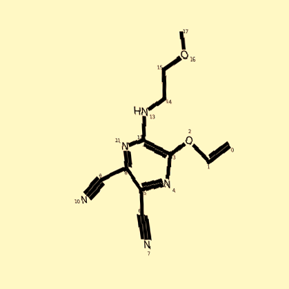 C=COc1nc(C#N)c(C#N)nc1NCCOC